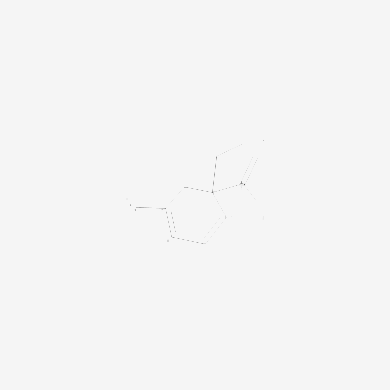 CCC1(C(=O)O)C=CC=C(N)C1